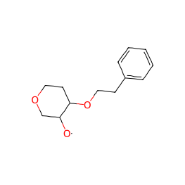 [O]C1COCCC1OCCc1ccccc1